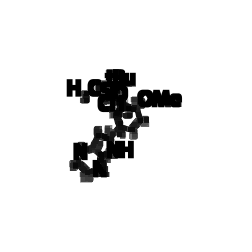 COc1ccc(-c2cc3nccnc3[nH]2)cc1O[Si](C)(C)C(C)(C)C